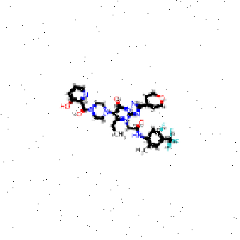 CCc1c(N2CCN(C(=O)c3ncccc3O)CC2)c(=O)n2nc(C3=CCOCC3)nc2n1CC(=O)Nc1cc(F)c(C(F)(F)F)cc1C